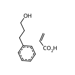 C=CC(=O)O.OCCCc1ccccc1